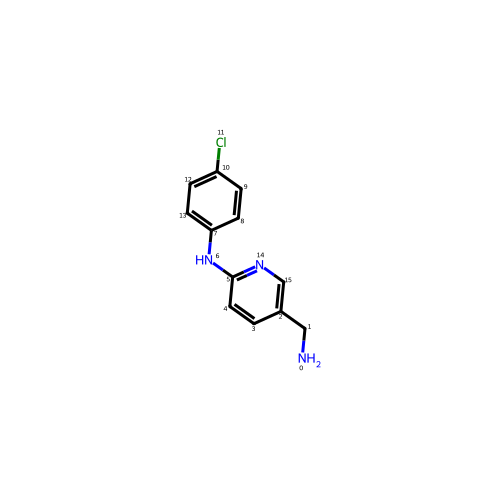 NCc1ccc(Nc2ccc(Cl)cc2)nc1